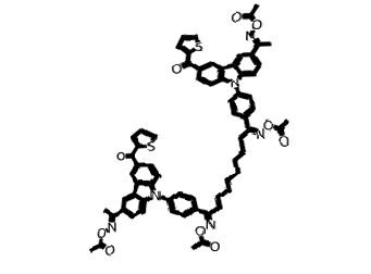 CC(=O)ON=C(C)c1ccc2c(c1)c1cc(C(=O)c3cccs3)ccc1n2-c1ccc(/C(CCCCCCCC/C(=N/OC(C)=O)c2ccc(-n3c4ccc(C(=O)c5cccs5)cc4c4cc(C(C)=NOC(C)=O)ccc43)cc2)=N\OC(C)=O)cc1